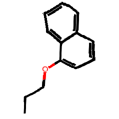 CCCOc1cccc2cc[c]cc12